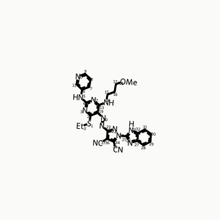 CCSc1nc(Nc2cccnc2)nc(NCCCOC)c1N=Nc1nn(-c2nc3ccccc3[nH]2)c(C#N)c1C#N